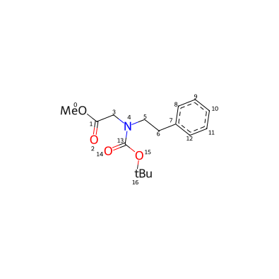 COC(=O)CN(CCc1ccccc1)C(=O)OC(C)(C)C